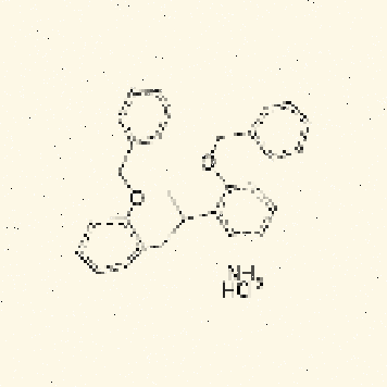 CC(Cc1ccccc1OCc1ccccc1)c1ccccc1OCc1ccccc1.Cl.N